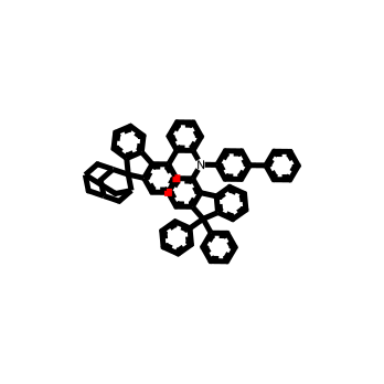 c1ccc(-c2ccc(N(c3ccccc3-c3cccc4c3-c3ccccc3C43C4CC5CC(C4)CC3C5)c3cccc4c3-c3ccccc3C4(c3ccccc3)c3ccccc3)cc2)cc1